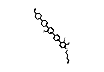 C=CCCCOc1ccc(-c2ccc(-c3ccc(C4=CCC(C5CCC(C=C)CC5)CC4)c(F)c3)cc2)c(F)c1F